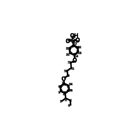 CCC(C)c1ccc(OCCCCOc2ccc(S(=O)(=O)O)cc2)cc1